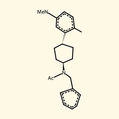 CNc1ccc(C)c([C@H]2CC[C@H](N(Cc3ccccc3)C(C)=O)CC2)c1